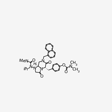 CNC(=O)N(C(C)C)N1CC(=O)N2[C@@H](Cc3ccc(OC(=O)N(C)C)cc3)C(=O)N(Cc3cccc4ccccc34)C[C@@H]21